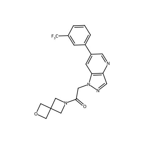 O=C(Cn1ncc2ncc(-c3cccc(C(F)(F)F)c3)cc21)N1CC2(COC2)C1